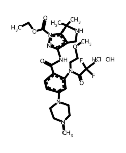 CCOC(=O)n1nc(NC(=O)c2ccc(N3CCN(C)CC3)cc2N(CCOC)C(=O)C(F)(F)F)c2c1C(C)(C)NC2.Cl.Cl